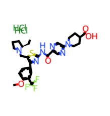 CC[C@@H]1CCCN1Cc1sc(NC(=O)c2cnc(N3CCC(C(=O)O)CC3)cn2)nc1-c1ccc(OC)c(C(F)(F)F)c1.Cl.Cl